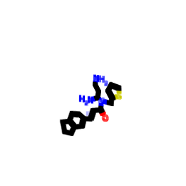 NCCC(N)N(Cc1cccs1)C(=O)/C=C/c1ccc2c(c1)CCC2